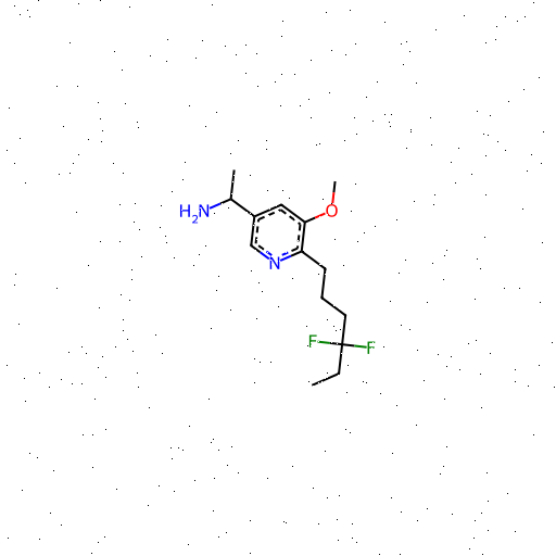 CCC(F)(F)CCCc1ncc(C(C)N)cc1OC